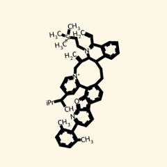 C=CC1=[N+](CC[Si](C)(C)C)C2C(=C)C[n+]3ccc(C(C)C(C)C)cc3-c3c(ccc4c3oc3nc(-c5c(C)cccc5C)ccc34)CCC2c2ccccc21